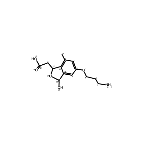 Cc1cc(OCCCN)cc2c1C(CC(=O)O)OB2O